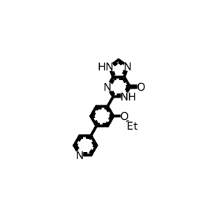 CCOc1cc(-c2ccncc2)ccc1-c1nc2[nH]cnc2c(=O)[nH]1